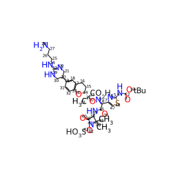 CC(C)(C)OC(=O)Nc1nc(/C(=N/OC(C)(C(=O)O)[C@H]2CCc3cc(C4CN=C(NCCCN)NC4)ccc3O2)C(=O)N[C@@H]2C(=O)N(OS(=O)(=O)O)C2(C)C)cs1